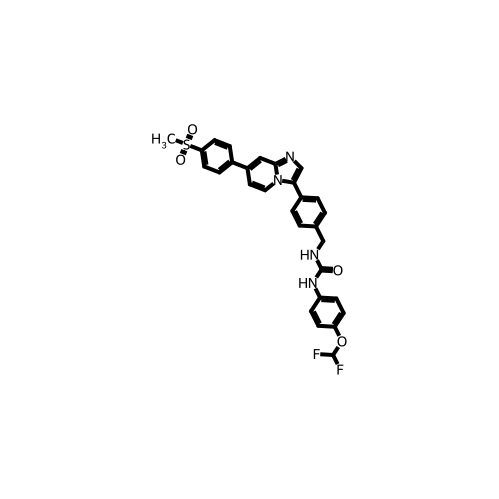 CS(=O)(=O)c1ccc(-c2ccn3c(-c4ccc(CNC(=O)Nc5ccc(OC(F)F)cc5)cc4)cnc3c2)cc1